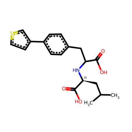 CC(C)C[C@H](NC(Cc1ccc(-c2ccsc2)cc1)C(=O)O)C(=O)O